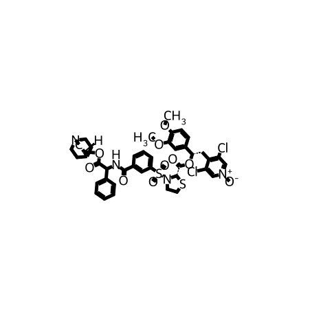 COc1ccc([C@H](Cc2c(Cl)c[n+]([O-])cc2Cl)OC(=O)[C@@H]2SCCN2S(=O)(=O)c2cccc(C(=O)NC(C(=O)O[C@H]3CN4CCC3CC4)c3ccccc3)c2)cc1OC